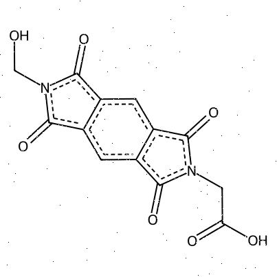 O=C(O)Cn1c(=O)c2cc3c(=O)n(CO)c(=O)c3cc2c1=O